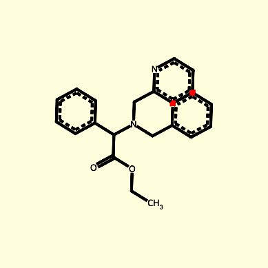 CCOC(=O)C(c1ccccc1)N(Cc1ccccn1)Cc1ccccn1